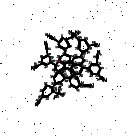 N#Cc1cc(C#N)cc(-c2ccc3c(c2)c2cc(-c4cc(C#N)cc(C#N)c4)ccc2n3-c2ccc(-c3ccc(C#N)cc3C(F)(F)F)cc2-c2ccc(C#N)cc2-n2c3ccc(-c4cc(C#N)cc(C#N)c4)cc3c3cc(-c4cc(C#N)cc(C#N)c4)ccc32)c1